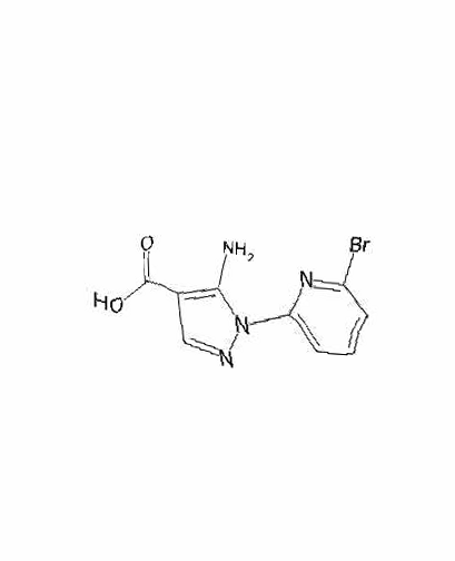 Nc1c(C(=O)O)cnn1-c1cccc(Br)n1